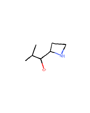 CC(C)C([O])C1CCN1